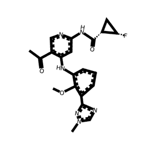 COc1c(Nc2cc(NC(=O)[C@@H]3C[C@@H]3F)ncc2C(C)=O)cccc1-c1ncn(C)n1